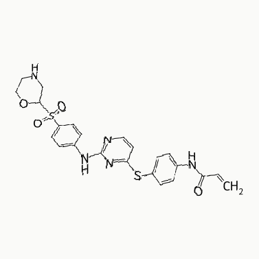 C=CC(=O)Nc1ccc(Sc2ccnc(Nc3ccc(S(=O)(=O)C4CNCCO4)cc3)n2)cc1